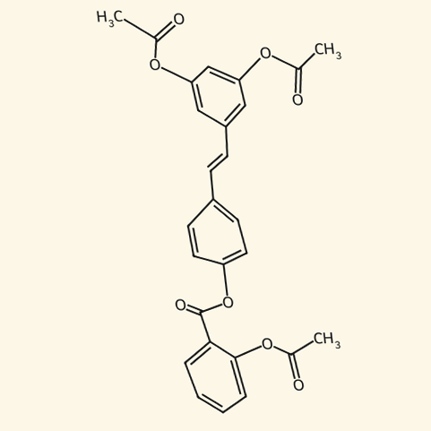 CC(=O)Oc1cc(C=Cc2ccc(OC(=O)c3ccccc3OC(C)=O)cc2)cc(OC(C)=O)c1